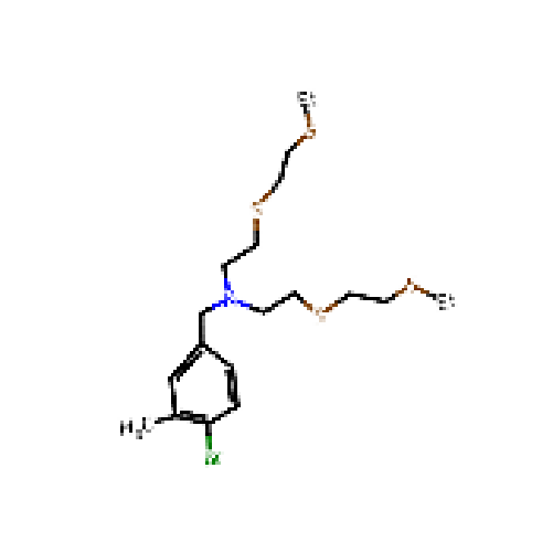 CCSCCSCCN(CCSCCSCC)Cc1ccc(Br)c(C)c1